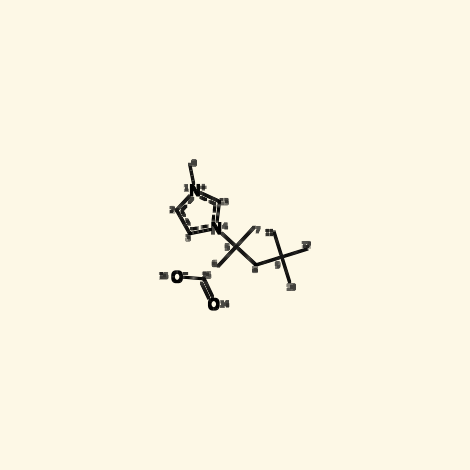 C[n+]1ccn(C(C)(C)CC(C)(C)C)c1.O=C[O-]